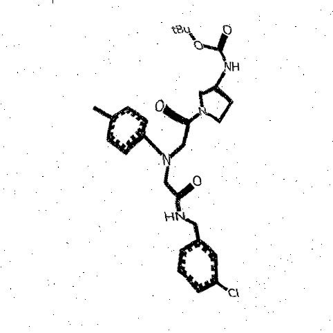 Cc1ccc(N(CC(=O)NCc2cccc(Cl)c2)CC(=O)N2CCC(NC(=O)OC(C)(C)C)C2)cc1